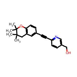 CC1(C)Cc2cc(C#Cc3ccc(CO)cn3)ccc2OC1(C)C